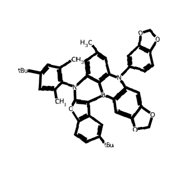 Cc1cc2c3c(c1)N(c1c(C)cc(C(C)(C)C)cc1C)c1oc4ccc(C(C)(C)C)cc4c1B3c1cc3c(cc1N2c1ccc2c(c1)OCO2)OCO3